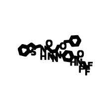 O=C(NCC(F)(F)F)c1ccc(-n2nnc(C(=O)NCc3cc4ccccc4s3)c2COCc2ccccc2)cc1